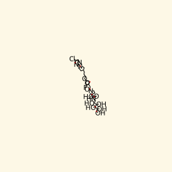 O=C(Cc1ccc(OCCCC2CCN(c3ncc(Cl)cn3)CC2)cc1F)N1CCC(O)(C(=O)NCC(O)C(O)C(O)C(O)CO)C1